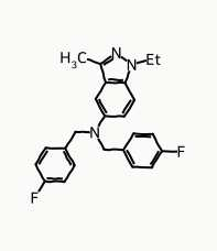 CCn1nc(C)c2cc(N(Cc3ccc(F)cc3)Cc3ccc(F)cc3)ccc21